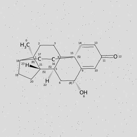 C[C@@]12CCC3[C@H]4C[C@@H](O)C5=CC(=O)C=C[C@@]53CCC1CC[C@@H]42